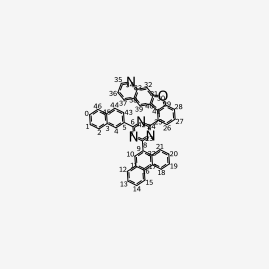 c1ccc2cc(-c3nc(-c4cc5ccccc5c5ccccc45)nc(-c4cccc5oc6cc7ncccc7cc6c45)n3)ccc2c1